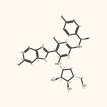 Cc1ccc([C@@H](C)Nc2nc(C)c(-c3nc4cnc(C)cc4s3)c(N[C@@H]3C[C@H](CO)[C@@H](O)[C@H]3O)n2)cc1